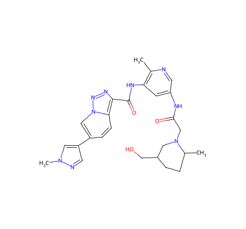 Cc1ncc(NC(=O)CN2CC(CO)CCC2C)cc1NC(=O)c1nnn2cc(-c3cnn(C)c3)ccc12